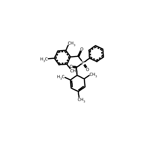 CC1=CC(C)C(C(=O)P(=O)(C(=O)c2c(C)cc(C)cc2C)c2ccccc2)C(C)=C1